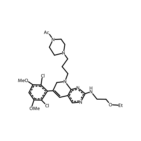 CCOCCNc1ncc2c(n1)N(CCCN1CCN(C(C)=O)CC1)CC(c1c(Cl)c(OC)cc(OC)c1Cl)=C2